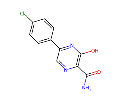 NC(=O)c1ncc(-c2ccc(Cl)cc2)nc1O